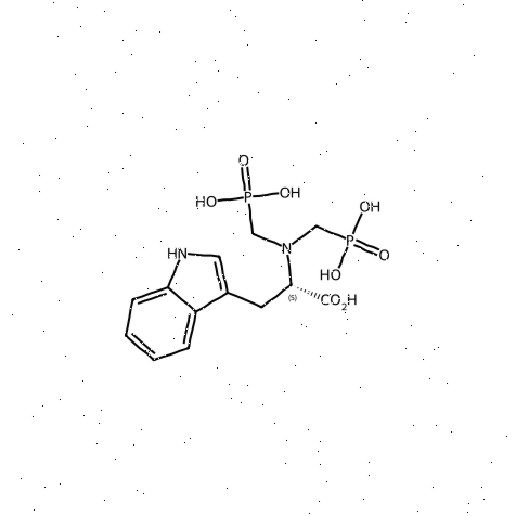 O=C(O)[C@H](Cc1c[nH]c2ccccc12)N(CP(=O)(O)O)CP(=O)(O)O